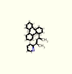 C=C(/C=C(\C)c1ccccn1)c1cccc2c3ccccc3c3ccccc3c12